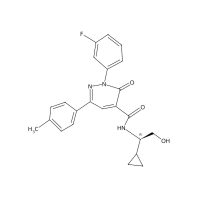 Cc1ccc(-c2cc(C(=O)N[C@@H](CO)C3CC3)c(=O)n(-c3cccc(F)c3)n2)cc1